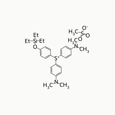 CC[Si](CC)(CC)Oc1ccc([S+](c2ccc(N(C)C)cc2)c2ccc(N(C)C)cc2)cc1.CS(=O)(=O)[O-]